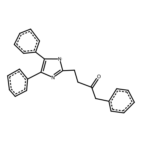 O=C(CCC1=NC(c2ccccc2)=C(c2ccccc2)[N]1)Cc1ccccc1